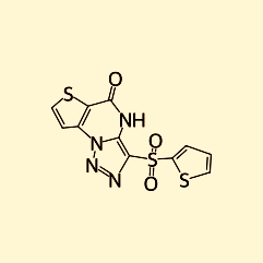 O=c1[nH]c2c(S(=O)(=O)c3cccs3)nnn2c2ccsc12